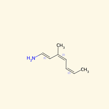 C\C=C/C=C(C)\C=C\N